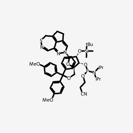 COc1ccc(C(OC[C@H]2O[C@@H](N3C=C4CCC5=C4C(=N3)C=NSC5)[C@H](O[Si](C)(C)C(C)(C)C)[C@@H]2OP(OCCC#N)N(C(C)C)C(C)C)(c2ccccc2)c2ccc(OC)cc2)cc1